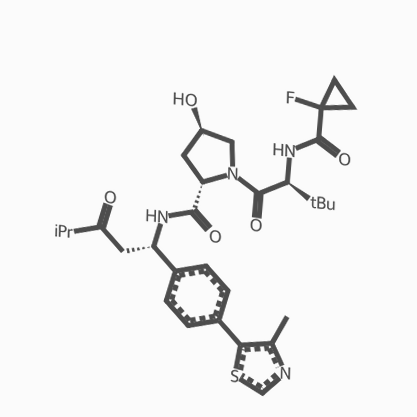 Cc1ncsc1-c1ccc([C@H](CC(=O)C(C)C)NC(=O)[C@@H]2C[C@@H](O)CN2C(=O)[C@@H](NC(=O)C2(F)CC2)C(C)(C)C)cc1